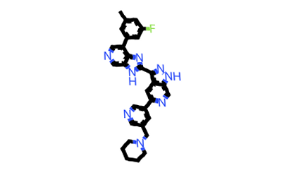 Cc1cc(F)cc(-c2cncc3[nH]c(-c4n[nH]c5cnc(-c6cncc(CN7CCCCC7)c6)cc45)nc23)c1